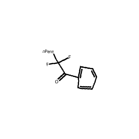 CCCCCC(F)(F)C(=O)c1ccccc1